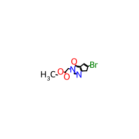 CCOC(=O)Cn1cnc2c(c1=O)C=C(Br)C2